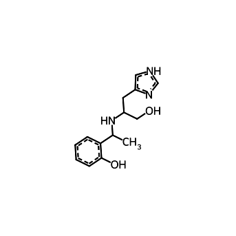 CC(NC(CO)Cc1c[nH]cn1)c1ccccc1O